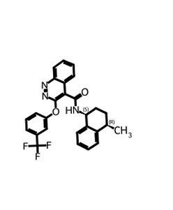 C[C@@H]1CC[C@H](NC(=O)c2c(Oc3cccc(C(F)(F)F)c3)nnc3ccccc23)c2ccccc21